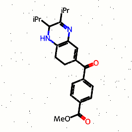 COC(=O)c1ccc(C(=O)C2=CC3=C(CC2)NC(C(C)C)C(C(C)C)=N3)cc1